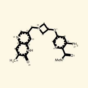 CNC(=O)c1ncc(OC2CN(Cc3cnc4cc(C)c(=O)[nH]c4c3)C2)cc1P